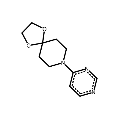 c1cc(N2CCC3(CC2)OCCO3)ncn1